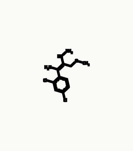 COC/C(NN)=C(/N)c1ccc(Cl)cc1Cl